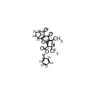 Cc1nc(C(F)(F)F)c(C(=O)OCc2ccccc2)cc1C(=O)C1=C(O)C2CCC(C2)C1=O